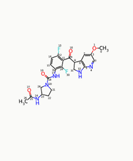 COc1cnc2c(c1)C(C(=O)c1c(F)ccc(NC(=O)N3CCC(NC(C)=O)C3)c1F)CN2